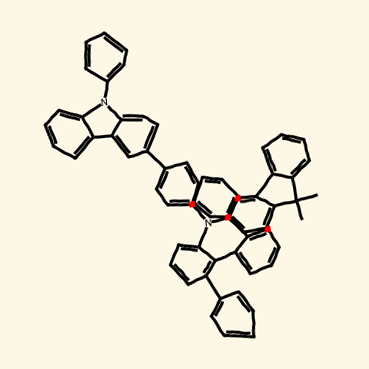 CC1(C)c2ccccc2-c2cc(N(c3ccc(-c4ccc5c(c4)c4ccccc4n5-c4ccccc4)cc3)c3cccc(-c4ccccc4)c3-c3ccccc3-c3ccccc3)ccc21